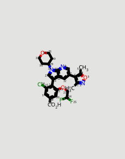 Cc1noc(C)c1-c1cnc2c(c1)c(-c1c(Cl)cc(C(=O)O)cc1OCC(F)F)cn2C1CCOCC1